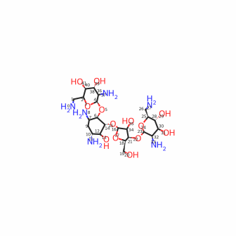 NCC1O[C@H](O[C@@H]2C(N)C[C@@H](N)C(O)[C@H]2O[C@@H]2O[C@H](CO)[C@H](OC3O[C@@H](CN)[C@H](O)C(O)[C@H]3N)C2O)C(N)[C@@H](O)[C@@H]1O